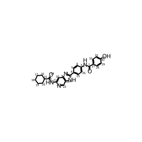 O=C(Nc1ccc(-c2nc3cc(NC(=O)C4CCCCC4)ncc3[nH]2)cc1)c1ccc(O)cc1